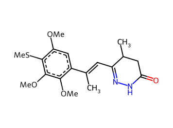 COc1cc(C(C)=CC2=NNC(=O)CC2C)c(OC)c(OC)c1SC